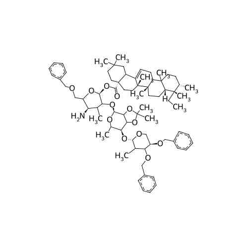 CC[C@]1(C)[C@@H]2CC[C@@]3(C)C(CC=C4C5CC(C)(C)CC[C@]5(C(=O)O[C@@H]5OC(COCc6ccccc6)[C@H](N)C(C)C5O[C@@H]5OC(C)[C@H](O[C@@H]6OC[C@@H](OCc7ccccc7)C(OCc7ccccc7)C6C)C6OC(C)(C)OC65)CC[C@]43C)C2(C)CC[C@@H]1C